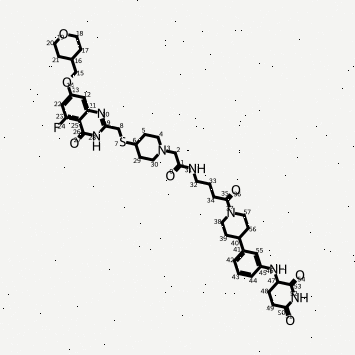 O=C(CN1CCC(SCc2nc3cc(OCC4CCOCC4)cc(F)c3c(=O)[nH]2)CC1)NCCCC(=O)N1CCC(c2cccc(NC3CCC(=O)NC3=O)c2)CC1